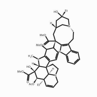 CC[C@]1(O)C[C@@H]2C[N@@](CCc3c([nH]c4ccccc34)[C@@](C(=O)OC)(C3C=CC4=C(C3OC)N(C)[C@H]3[C@@](O)(C(=O)OC)[C@H](OC(C)=O)[C@]5(CC)C=CCN6CC[C@]43[C@@H]65)C2)C1